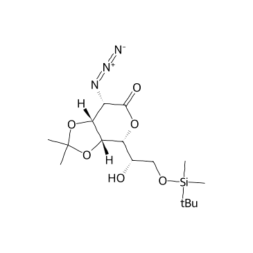 CC1(C)O[C@@H]2[C@H](O1)[C@H](N=[N+]=[N-])C(=O)O[C@@H]2[C@@H](O)CO[Si](C)(C)C(C)(C)C